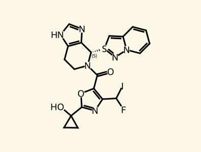 O=C(c1oc(C2(O)CC2)nc1C(F)I)N1CCc2[nH]cnc2[C@@H]1S1=NN2C=CC=CC2=C1